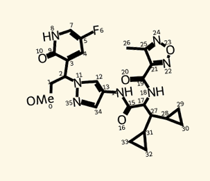 COCC(c1cc(F)c[nH]c1=O)n1cc(NC(=O)C(NC(=O)c2nonc2C)C(C2CC2)C2CC2)cn1